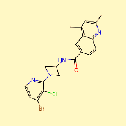 Cc1cc(C)c2cc(C(=O)NC3CN(c4nccc(Br)c4Cl)C3)ccc2n1